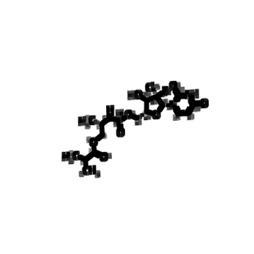 CC(C)C(=O)OC[C@H](C)N[PH](=O)OC[C@H]1O[C@@H](n2ccc(=O)[nH]c2=O)[C@](Cl)(Br)[C@@H]1O